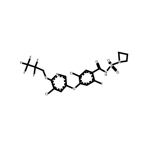 O=C(NS(=O)(=O)N1CCC1)c1cc(Cl)c(Oc2cnc(OCC(F)(F)C(F)(F)F)c(Cl)c2)cc1F